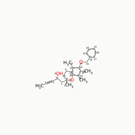 CC#CC(O)C[C@]1(C)CCc2c(C)c(OCc3ccccc3)c(C)c(C)c2O1